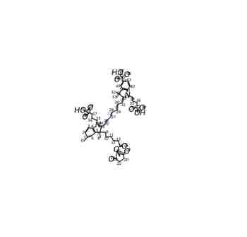 Cc1ccc2c(c1)C(C)(CCCCCC(=O)ON1C(=O)CCC1=O)C(/C=C/C=C/C=C/C=C1/N(CCCS(=O)(=O)O)c3ccc(S(=O)(=O)O)cc3C1(C)C)=[N+]2CCCS(=O)(=O)O